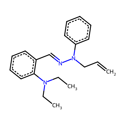 C=CCN(N=Cc1ccccc1N(CC)CC)c1ccccc1